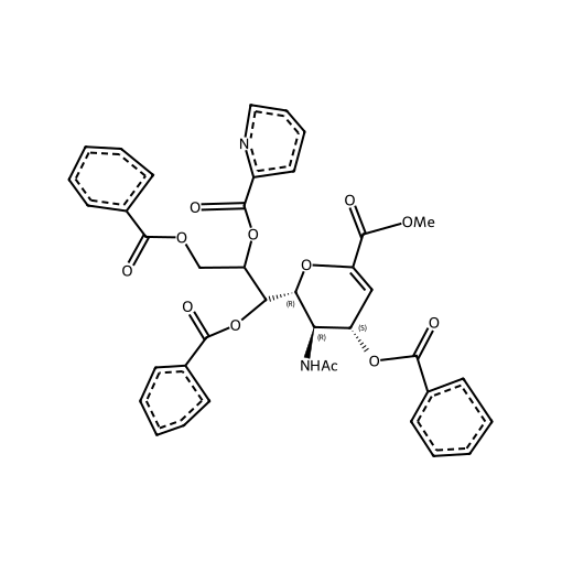 COC(=O)C1=C[C@H](OC(=O)c2ccccc2)[C@@H](NC(C)=O)[C@H](C(OC(=O)c2ccccc2)C(COC(=O)c2ccccc2)OC(=O)c2ccccn2)O1